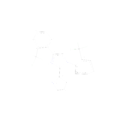 FC(F)(F)c1ccccc1-c1cn(-c2ccccc2C(F)(F)F)c(C2CCCN2)n1